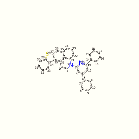 C1=CN(c2cc(-c3ccccc3)cc(-c3ccccc3)n2)c2cccc3cc4sc5ccccc5c4c1c23